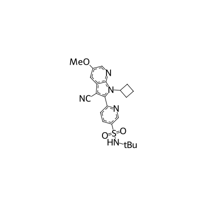 COc1cnc2c(c1)c(C#N)c(-c1ccc(S(=O)(=O)NC(C)(C)C)cn1)n2C1CCC1